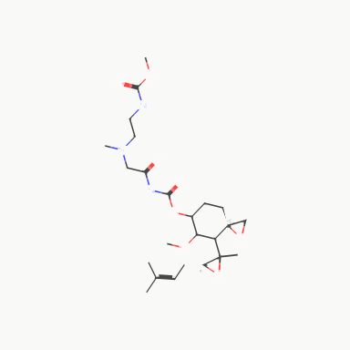 COC(=O)NCCN(C)CC(=O)NC(=O)OC1CC[C@]2(CO2)C(C2(C)O[C@@H]2CC=C(C)C)C1OC